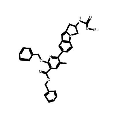 Cc1cc(C(=O)OCc2ccccc2)c(OCc2ccccc2)nc1-c1ccc2c(c1)cc1n2CC(NC(=O)OC(C)(C)C)C1